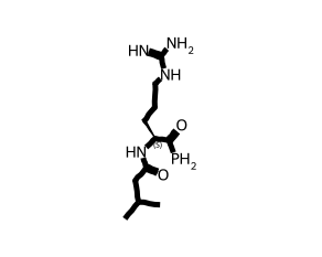 CC(C)CC(=O)N[C@@H](CCCNC(=N)N)C(=O)P